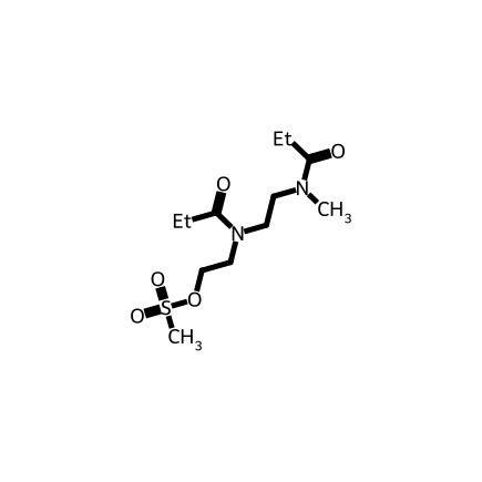 CCC(=O)N(C)CCN(CCOS(C)(=O)=O)C(=O)CC